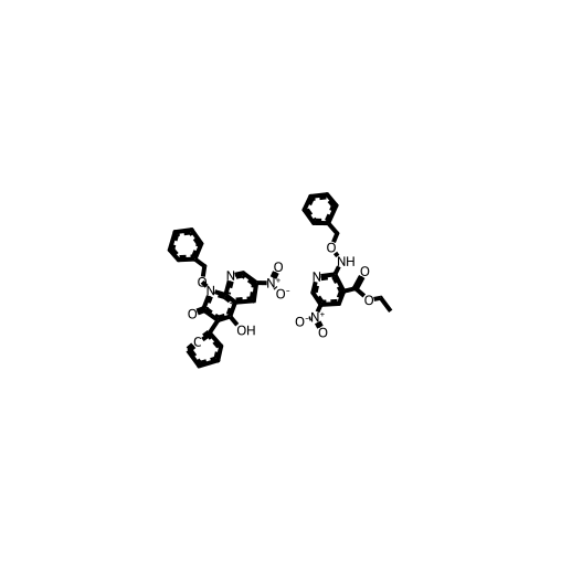 CCOC(=O)c1cc([N+](=O)[O-])cnc1NOCc1ccccc1.O=c1c(-c2ccccc2)c(O)c2cc([N+](=O)[O-])cnc2n1OCc1ccccc1